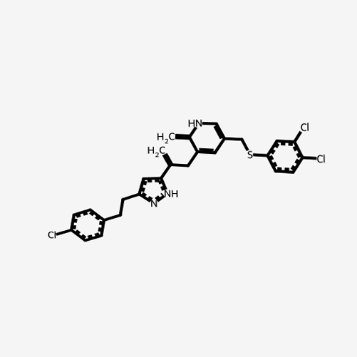 C=C1NC=C(CSc2ccc(Cl)c(Cl)c2)C=C1CC(=C)c1cc(CCc2ccc(Cl)cc2)n[nH]1